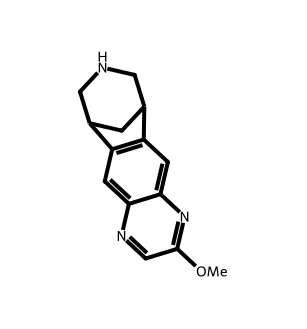 COc1cnc2cc3c(cc2n1)C1CNCC3C1